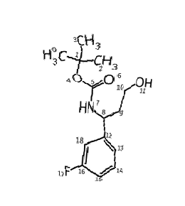 CC(C)(C)OC(=O)NC(CCO)c1cccc(F)c1